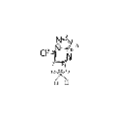 Cc1cnn2c(Cl)cc(CC(C)(C)C)nc12